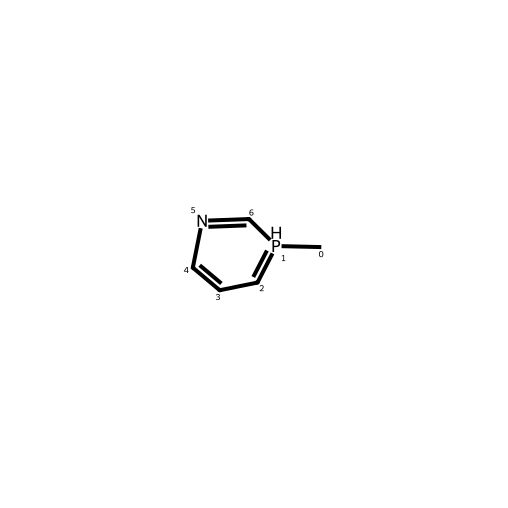 C[PH]1=CC=CN=C1